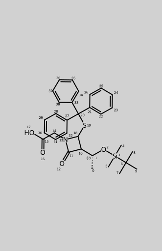 C[C@@H](O[Si](C)(C)C(C)(C)C)C1C(=O)N(CC(=O)O)C1SC(c1ccccc1)(c1ccccc1)c1ccccc1